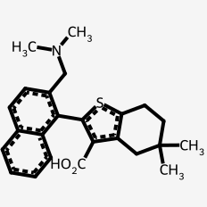 CN(C)Cc1ccc2ccccc2c1-c1sc2c(c1C(=O)O)CC(C)(C)CC2